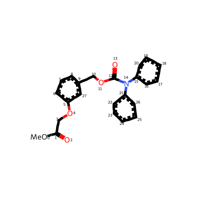 COC(=O)COc1cccc(COC(=O)N(c2ccccc2)c2ccccc2)c1